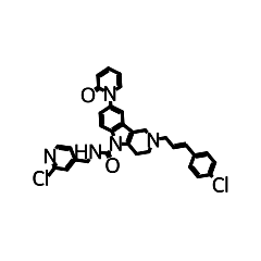 O=C(NCc1ccnc(Cl)c1)n1c2c(c3cc(-n4ccccc4=O)ccc31)CN(CC=Cc1ccc(Cl)cc1)CC2